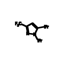 CC(C)c1cc(C(F)(F)F)nn1C(C)C